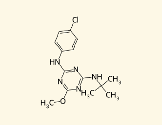 COc1nc(Nc2ccc(Cl)cc2)nc(NC(C)(C)C)n1